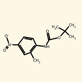 Cc1cc([N+](=O)[O-])ccc1NC(=O)OC(C)(C)C